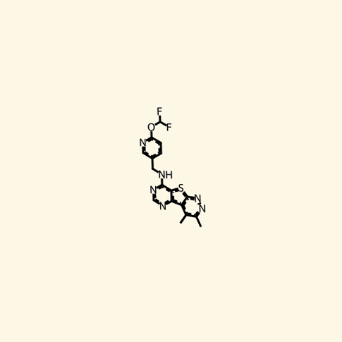 Cc1nnc2sc3c(NCc4ccc(OC(F)F)nc4)ncnc3c2c1C